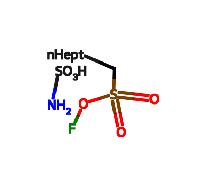 CCCCCCCCS(=O)(=O)OF.NS(=O)(=O)O